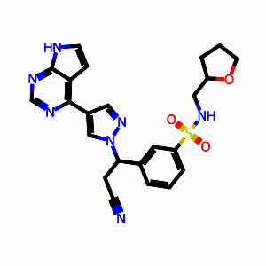 N#CCC(c1cccc(S(=O)(=O)NCC2CCCO2)c1)n1cc(-c2ncnc3[nH]ccc23)cn1